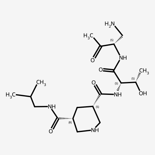 CC(=O)[C@H](CN)NC(=O)[C@@H](NC(=O)[C@@H]1CNC[C@H](C(=O)NCC(C)C)C1)[C@H](C)O